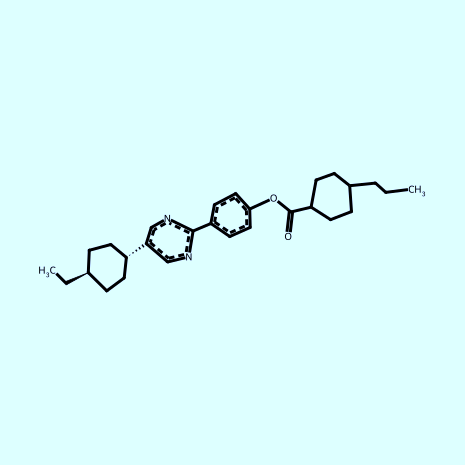 CCCC1CCC(C(=O)Oc2ccc(-c3ncc([C@H]4CC[C@H](CC)CC4)cn3)cc2)CC1